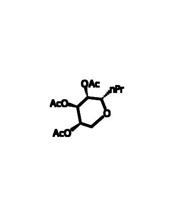 [CH2]CC[C@@H]1OC[C@@H](OC(C)=O)[C@@H](OC(C)=O)[C@@H]1OC(C)=O